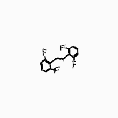 Fc1cccc(F)c1[CH]Cc1c(F)cccc1F